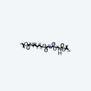 CC(C)OC(=O)NCCCCCOC(=O)/C=C/C(=O)OCNC(=O)OC(C)C